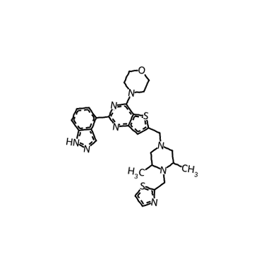 CC1CN(Cc2cc3nc(-c4cccc5[nH]ncc45)nc(N4CCOCC4)c3s2)CC(C)N1Cc1nccs1